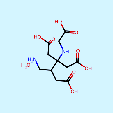 NCC(CC(=O)O)C(CC(=O)O)(CC(=O)O)NCC(=O)O.O